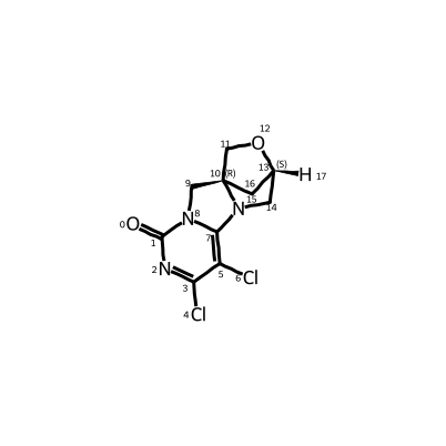 O=c1nc(Cl)c(Cl)c2n1C[C@]13CO[C@H](CN21)C3